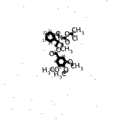 CC[C@@](COC(=O)c1cc(OC)c(OC)c(OC)c1)(c1ccccc1)N(C)C(=O)OC(C)Cl